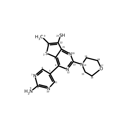 Cc1sc2c(-c3cnc(N)nc3)nc(N3CCOCC3)nc2c1S